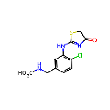 O=C1CSC(Nc2cc(CNC(=O)O)ccc2Cl)=N1